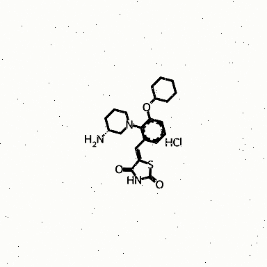 Cl.N[C@@H]1CCCN(c2c(/C=C3\SC(=O)NC3=O)cccc2OC2CCCCC2)C1